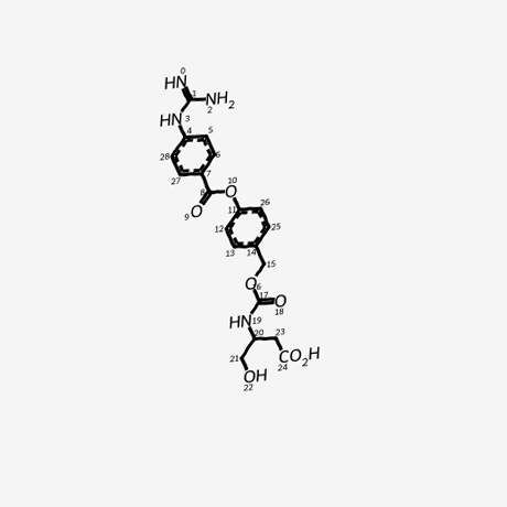 N=C(N)Nc1ccc(C(=O)Oc2ccc(COC(=O)NC(CO)CC(=O)O)cc2)cc1